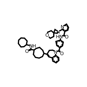 O=C(Nc1ccc(C(=O)N2CCC(C3CCCCC(C(=O)NC4CCCCCCC4)CCC3)=Cc3ccccc32)cc1)c1cccnc1N1CC2(CCOCC2)C1